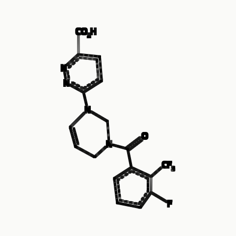 O=C(O)c1ccc(N2C=CCN(C(=O)c3cccc(F)c3C(F)(F)F)C2)nn1